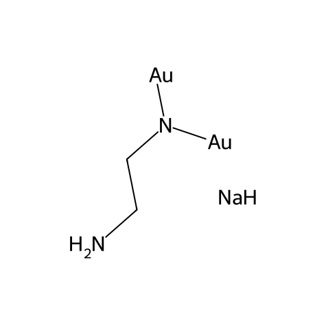 NCC[N]([Au])[Au].[NaH]